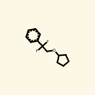 FC(F)(COC1CCCC1)c1ccccc1